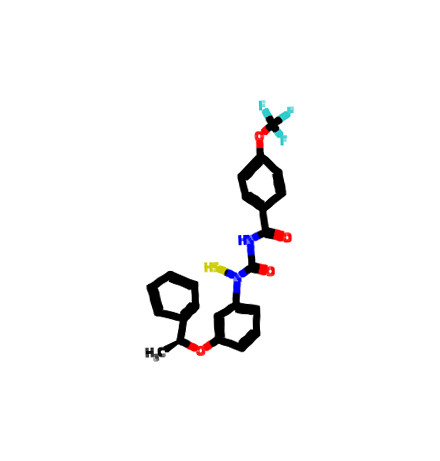 C[C@H](Oc1cccc(N(S)C(=O)NC(=O)c2ccc(OC(F)(F)F)cc2)c1)c1ccccc1